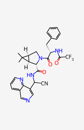 CC1(C)[C@@H]2[C@@H](C(=O)NC(C#N)c3cncc4cccnc34)N(C(=O)[C@H](Cc3ccccc3)NC(=O)C(F)(F)F)C[C@@H]21